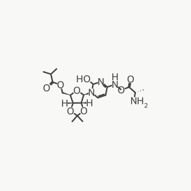 CC(C)C(=O)OC[C@H]1O[C@@H](N2C=CC(NOC(=O)[C@H](C)N)=NC2O)[C@@H]2OC(C)(C)O[C@@H]21